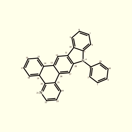 c1ccc(-n2c3ccccc3c3cc4c5ccccc5c5ncccc5c4cc32)cc1